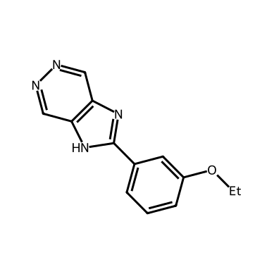 CCOc1cccc(-c2nc3cnncc3[nH]2)c1